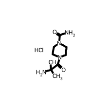 CC(C)(N)C(=O)N1CCN(C(N)=O)CC1.Cl